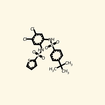 CC(C)(C)c1ccc(S(=O)(=O)Nc2cc(Cl)c(Cl)cc2NS(=O)(=O)c2cccs2)cc1